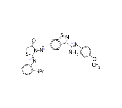 CC(C)c1ccccc1/N=C1\SCC(=O)N1/N=C/c1ccc2c(/C(N)=N/c3ccc(OC(F)(F)F)cc3)nsc2c1